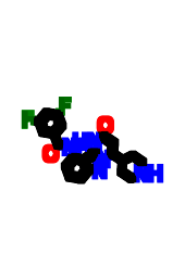 O=C(Nc1cccc2nn3c(C4CCNCC4)cc(=O)[nH]c3c12)c1cc(F)cc(F)c1